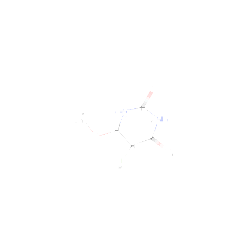 CC(C)OC1NC(=O)NC(=O)C1F